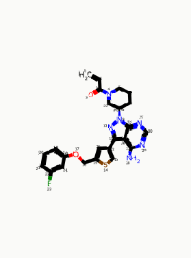 C=CC(=O)N1CCC[C@@H](n2nc(-c3csc(COc4cccc(F)c4)c3)c3c(N)ncnc32)C1